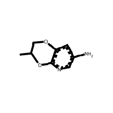 CC1COc2cc(N)cnc2O1